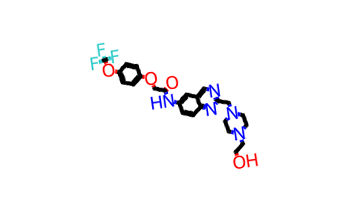 O=C(COc1ccc(OC(F)(F)F)cc1)Nc1ccc2nc(CN3CCN(CCO)CC3)ncc2c1